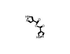 O=C(OC(=O)c1cn[nH]c1)c1cn[nH]c1